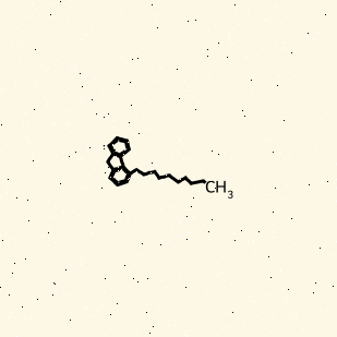 CCCCCCCCCCc1cccc2c1-c1ccc[c]c1C2